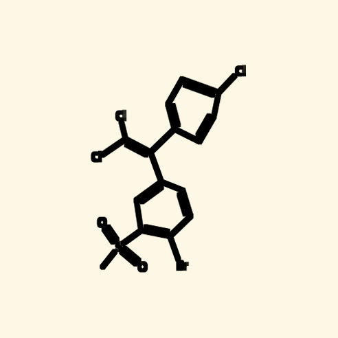 CS(=O)(=O)c1cc(C(=C(Cl)Cl)c2ccc(Cl)cc2)ccc1Br